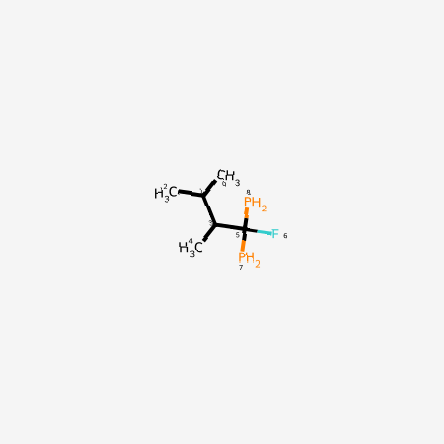 CC(C)C(C)C(F)(P)P